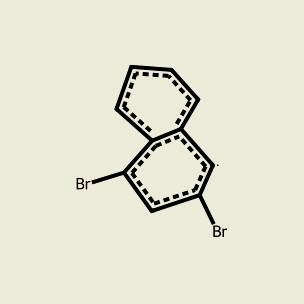 Brc1[c]c2ccccc2c(Br)c1